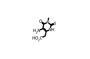 Cn1c(=S)[nH]c(CC(=O)O)c(N)c1=O